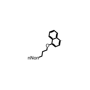 CCCCCCCCCCCCOc1cc[c]c2ccccc12